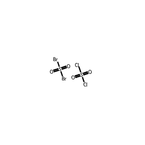 O=S(=O)(Br)Br.O=S(=O)(Cl)Cl